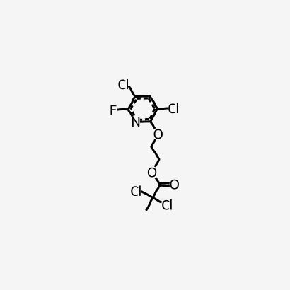 CC(Cl)(Cl)C(=O)OCCOc1nc(F)c(Cl)cc1Cl